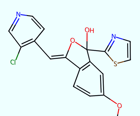 COc1ccc2c(c1)C(O)(c1nccs1)OC2=Cc1ccncc1Cl